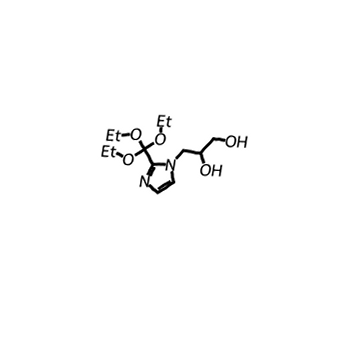 CCOC(OCC)(OCC)c1nccn1CC(O)CO